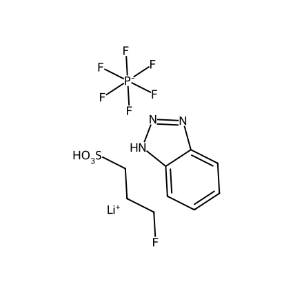 F[P-](F)(F)(F)(F)F.O=S(=O)(O)CCCF.[Li+].c1ccc2[nH]nnc2c1